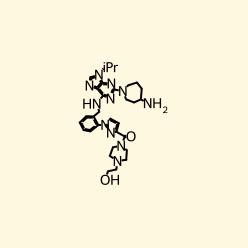 CC(C)n1cnc2c(NCc3ccccc3-n3ccc(C(=O)N4CCN(CCO)CC4)n3)nc(N3CCCC(N)CC3)nc21